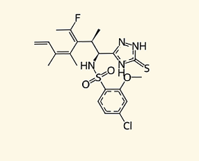 C=C/C(C)=C(C)\C(=C(/C)F)[C@@H](C)[C@H](NS(=O)(=O)c1ccc(Cl)cc1OC)c1n[nH]c(=S)[nH]1